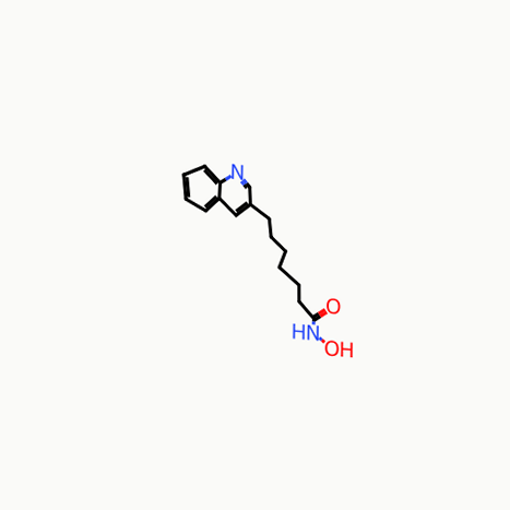 O=C(CCCCCCc1cnc2ccccc2c1)NO